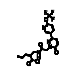 C=C/C=C(/CNC(=O)Cn1nc(-c2ccc(OC(F)(F)F)nc2)ccc1=O)C(=O)Cl